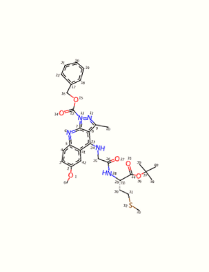 COc1ccc2nc3c(c(C)nn3C(=O)OCc3ccccc3)c(NCC(=O)N[C@@H](CCSC)C(=O)OC(C)(C)C)c2c1